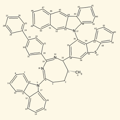 C[C@@H]1CC/C(n2c3ccccc3c3ccccc32)=N\C(c2ccc(-c3ccccc3)cc2)=N/C1c1cc(-n2c3ccccc3c3cc4ccccc4cc32)c2c(c1)sc1ccccc12